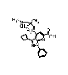 CN(C)CC(C)(C)COc1cc(C(=O)O)nc2c1c(C1CCC1)nn2-c1ccccc1